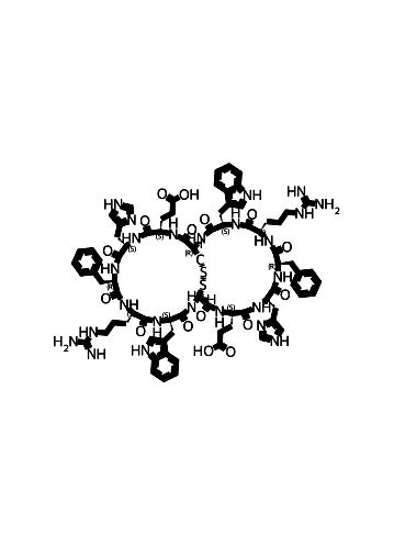 N=C(N)NCCC[C@@H]1NC(=O)[C@@H](Cc2ccccc2)NC(=O)[C@H](Cc2c[nH]cn2)NC(=O)[C@H](CCC(=O)O)NC(=O)[C@@H]2CSS[C@H](NC(=O)[C@H](Cc3c[nH]c4ccccc34)NC1=O)C(=O)N[C@@H](CCC(=O)O)C(=O)N[C@@H](Cc1c[nH]cn1)C(=O)N[C@H](Cc1ccccc1)C(=O)N[C@@H](CCCNC(=N)N)C(=O)N[C@@H](Cc1c[nH]c3ccccc13)C(=O)N2